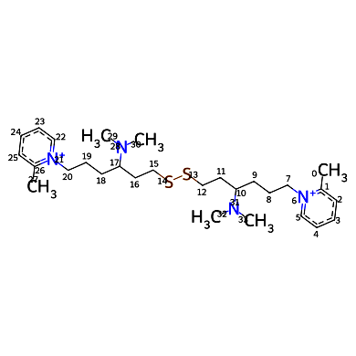 Cc1cccc[n+]1CCCC(CCSSCCC(CCC[n+]1ccccc1C)N(C)C)N(C)C